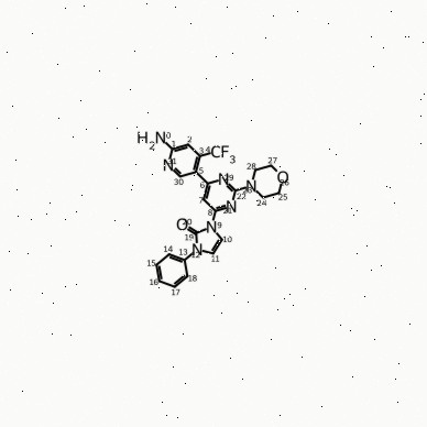 Nc1cc(C(F)(F)F)c(-c2cc(-n3ccn(-c4ccccc4)c3=O)nc(N3CCOCC3)n2)cn1